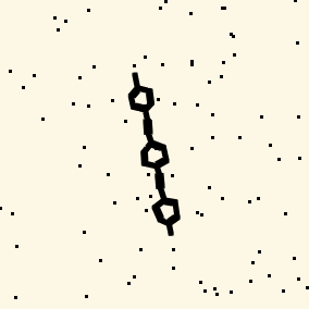 Cc1ccc(C#Cc2ccc(C#Cc3ccc(C)cc3)cc2)cc1